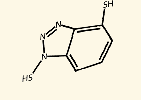 Sc1cccc2c1nnn2S